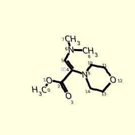 COC(=O)/C(=C/N(C)C)N1CCOCC1